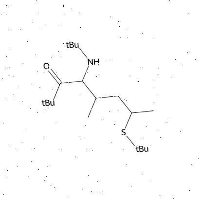 CC(CC(C)C(NC(C)(C)C)C(=O)C(C)(C)C)SC(C)(C)C